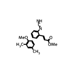 COC(=O)C=Cc1ccccc1N=C=N.COc1ccc(C)cc1C